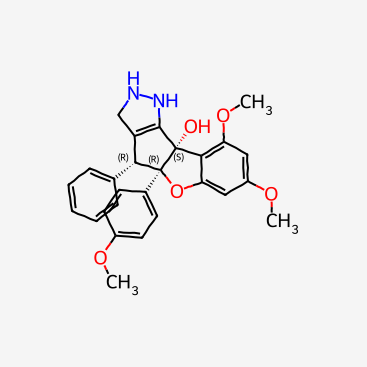 COc1ccc([C@@]23Oc4cc(OC)cc(OC)c4[C@]2(O)C2=C(CNN2)[C@H]3c2ccccc2)cc1